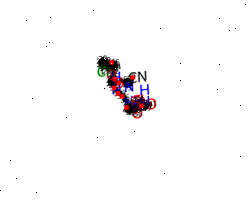 N#Cc1cncc(COc2cc(OCc3cccc(-c4ccccc4F)c3Cl)ccc2CNCCCCCNc2cccc3c2C(=O)N(C2CCC(=O)NC2=O)C3=O)c1